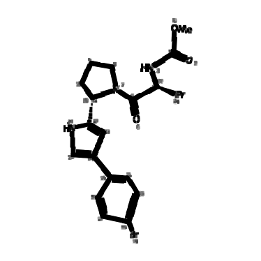 COC(=O)N[C@H](C(=O)N1CCC[C@H]1c1cc(-c2ccc(Br)cc2)c[nH]1)C(C)C